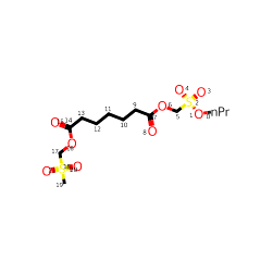 CCCOS(=O)(=O)COC(=O)CCCCCC(=O)OCS(C)(=O)=O